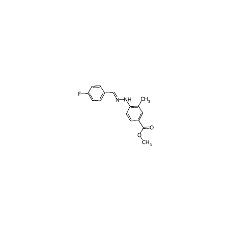 COC(=O)c1ccc(NN=Cc2ccc(F)cc2)c(C)c1